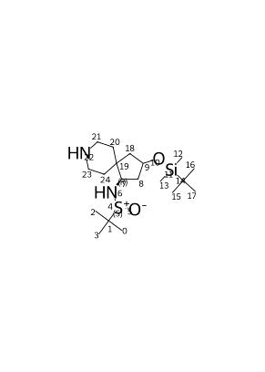 CC(C)(C)[S@@+]([O-])N[C@@H]1CC(O[Si](C)(C)C(C)(C)C)CC12CCNCC2